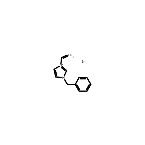 C=C[n+]1ccn(Cc2ccccc2)c1.[Br-]